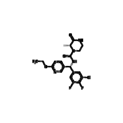 C[C@@H]1C(=O)NCCN1C(=O)N[C@@H](c1ccc(OCC(F)(F)F)nc1)c1cc(F)c(F)c(Cl)c1